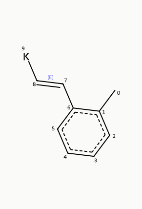 Cc1ccccc1/C=[CH]/[K]